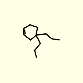 CCCC1(CCC)CC=CCC1